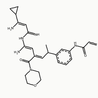 C=CC(=O)Nc1cccc(C(C)/C=C(\C=C(/N)NC(=N)/C=C(\N)C2CC2)C(=O)N2CCOCC2)c1